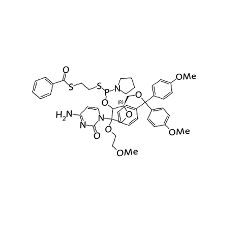 COCCOC1(n2ccc(N)nc2=O)CO[C@H](COC(c2ccccc2)(c2ccc(OC)cc2)c2ccc(OC)cc2)C1OP(SCCSC(=O)c1ccccc1)N1CCCC1